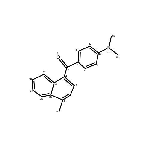 Cc1ccc(C(=O)c2ccc(N(C)C)cc2)c2ccccc12